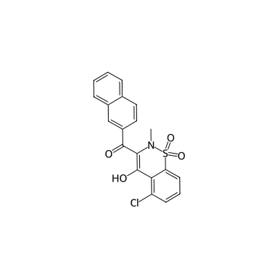 CN1C(C(=O)c2ccc3ccccc3c2)=C(O)c2c(Cl)cccc2S1(=O)=O